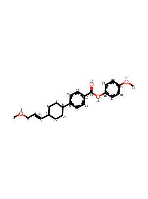 COC/C=C/C1CCC(c2ccc(C(=O)Oc3ccc(OC)cc3)cc2)CC1